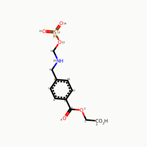 O=C(O)COC(=O)c1ccc(CNCO[SH](=O)=O)cc1